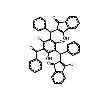 O=C1C(C(c2ccccc2)c2c(O)c(C(=O)c3ccccc3)c(O)c(C(C3=C(O)c4ccccc4C3=O)c3ccccc3)c2O)=C(O)c2ccccc21